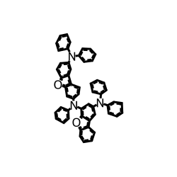 c1ccc(N(c2ccccc2)c2ccc3oc4cc(N(c5ccccc5)c5cc(N(c6ccccc6)c6ccccc6)cc6c5oc5ccccc56)ccc4c3c2)cc1